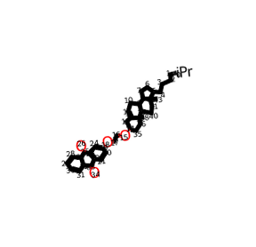 CC(C)CCCCC1CCC2C3CC=C4CC(OCCOc5ccc6c(c5)C(=O)C5C=CC=CC5C6=O)CCC4(C)C3CCC12C